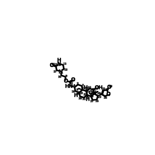 C[C@]12CC[C@H](NC(=O)OCCN3CCNC(=O)C3)C[C@H]1CC[C@@H]1[C@@H]2C[C@@H](O)[C@]2(C)[C@@H](C3=CC(=O)OC3)CC[C@]12O